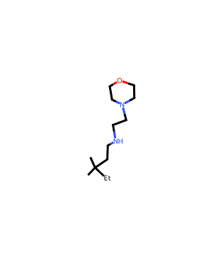 CCC(C)(C)CCNCCN1CCOCC1